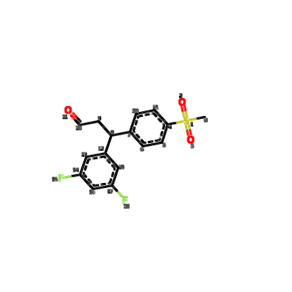 CS(=O)(=O)c1ccc(C(CC=O)c2cc(F)cc(F)c2)cc1